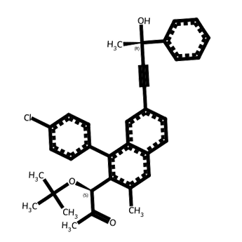 CC(=O)[C@@H](OC(C)(C)C)c1c(C)cc2ccc(C#C[C@](C)(O)c3ccccc3)cc2c1-c1ccc(Cl)cc1